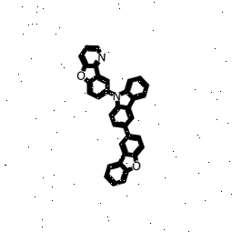 c1ccc2c(c1)oc1ccc(-c3ccc4c(c3)c3ccccc3n4-c3ccc4oc5cccnc5c4c3)cc12